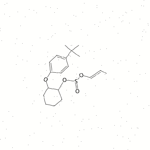 CC=COS(=O)OC1CCCCC1Oc1ccc(C(C)(C)C)cc1